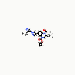 CC(=O)N1c2ccc(-c3cnn(C4CN[C@@H]4C)c3)cc2N(C(=O)OC2CCC2)C[C@@H]1C